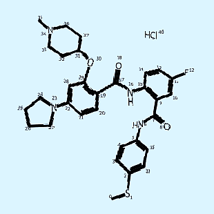 CSc1ccc(NC(=O)c2cc(F)ccc2NC(=O)c2ccc(N3CCCC3)cc2OC2CCN(C)CC2)cc1.Cl